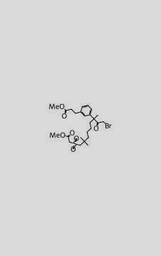 COC(=O)CCc1cccc(C(C)(CCCCC(C)(C)CS(=O)(=O)CC(=O)OC)C(=O)CBr)c1